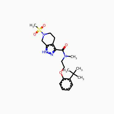 CN(CCOc1ccccc1C(C)(C)C)C(=O)c1n[nH]c2c1CCN(S(C)(=O)=O)C2